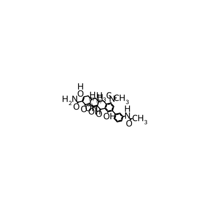 CC(=O)Nc1cccc(-c2cc(N(C)C)c3c(c2O)C(=O)C2=C(O)[C@]4(O)C(=O)C(C(N)=O)=C(O)C[C@@H]4C[C@@H]2C3)c1